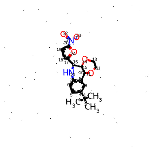 CC(C)(C)c1ccc2c(c1)C1OCCOC1C(c1ccc([N+](=O)[O-])o1)N2